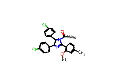 CCOc1cc(C(F)(F)F)ccc1C1=NC(c2ccc(Cl)cc2)C(c2ccc(Cl)cc2)N1C(=O)NC